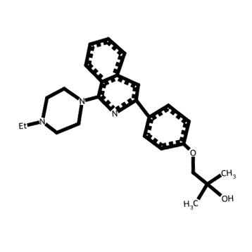 CCN1CCN(c2nc(-c3ccc(OCC(C)(C)O)cc3)cc3ccccc23)CC1